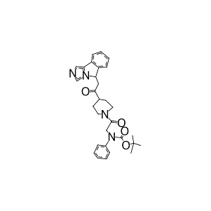 CC(C)(C)OC(=O)N(CC(=O)N1CCC(C(=O)CC2c3ccccc3-c3cncn32)CC1)c1ccccc1